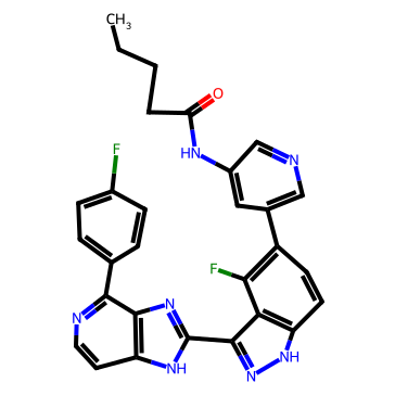 CCCCC(=O)Nc1cncc(-c2ccc3[nH]nc(-c4nc5c(-c6ccc(F)cc6)nccc5[nH]4)c3c2F)c1